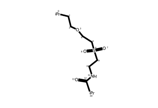 CC(C)CCOCCS(=O)(=O)CCNC(=O)C(C)C